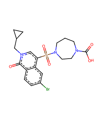 O=C(O)N1CCCN(S(=O)(=O)c2cn(CC3CC3)c(=O)c3ccc(Br)cc23)CC1